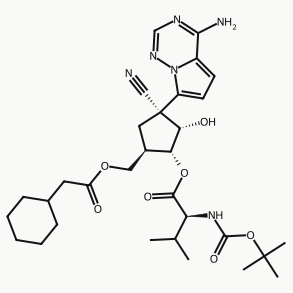 CC(C)[C@H](NC(=O)OC(C)(C)C)C(=O)O[C@@H]1[C@@H](COC(=O)CC2CCCCC2)C[C@@](C#N)(c2ccc3c(N)ncnn23)[C@@H]1O